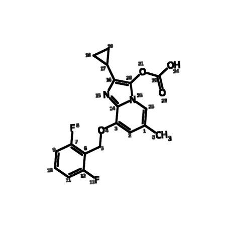 Cc1cc(OCc2c(F)cccc2F)c2nc(C3CC3)c(OC(=O)O)n2c1